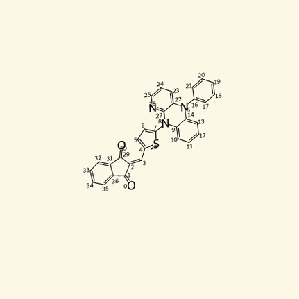 O=C1C(=Cc2ccc(N3c4ccccc4N(c4ccccc4)c4cccnc43)s2)C(=O)c2ccccc21